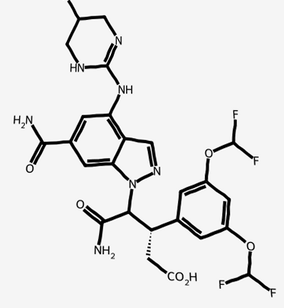 NC(=O)c1cc(NC2=NCC(F)CN2)c2cnn(C(C(N)=O)[C@@H](CC(=O)O)c3cc(OC(F)F)cc(OC(F)F)c3)c2c1